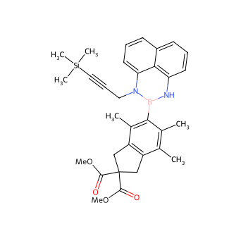 COC(=O)C1(C(=O)OC)Cc2c(C)c(C)c(B3Nc4cccc5cccc(c45)N3CC#C[Si](C)(C)C)c(C)c2C1